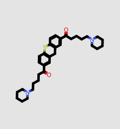 O=C(CCCCN1CCCCC1)c1ccc2c(c1)Cc1cc(C(=O)CCCCN3CCCCC3)ccc1S2